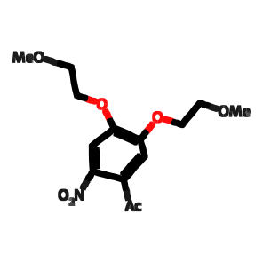 COCCOc1cc(C(C)=O)c([N+](=O)[O-])cc1OCCOC